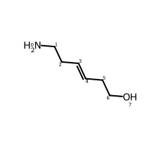 NCC/C=C/CCO